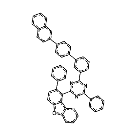 c1ccc(-c2nc(-c3cccc(-c4ccc(-c5ccc6ccccc6c5)cc4)c3)nc(-c3c(-c4ccccc4)ccc4oc5ccccc5c34)n2)cc1